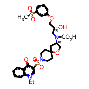 CCn1cc(S(=O)(=O)N2CCC3(CC2)C[C@@H](N(C[C@@H](O)COc2cccc(S(C)(=O)=O)c2)C(=O)O)CO3)c(=O)c2ccccc21